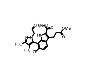 C=CCn1nc(C)c(C)c1-c1c(Cl)ccc2c(CCC(=O)OC)c(C(=O)OC)[nH]c12